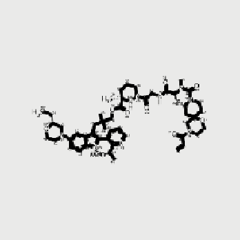 C=CC(=O)N1CCOC2(CCN(C(=O)N(C)[C@H](C(=O)NCC(=O)N3CCC[C@]([SiH3])(C(=O)OCC(C)(C)Cc4c(-c5cccnc5[C@H](C)OC)n(CC)c5ccc(N6CCO[C@@H](C[SiH3])C6)cc45)N3)C(C)C)CC2)C1